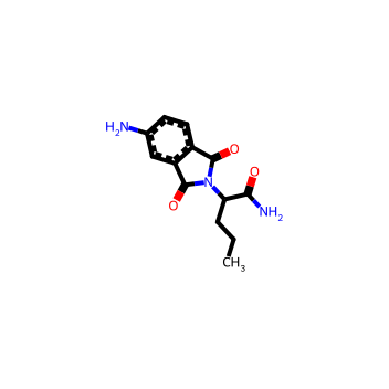 CCCC(C(N)=O)N1C(=O)c2ccc(N)cc2C1=O